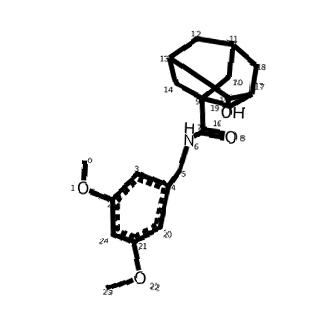 COc1cc(CNC(=O)C23CC4CC(C2)C(O)C(C4)C3)cc(OC)c1